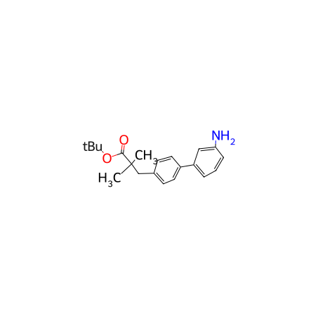 CC(C)(C)OC(=O)C(C)(C)Cc1ccc(-c2cccc(N)c2)cc1